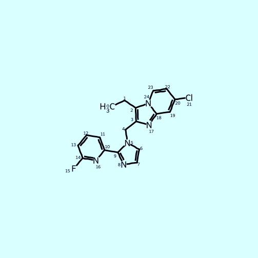 CCc1c(Cn2ccnc2-c2cccc(F)n2)nc2cc(Cl)ccn12